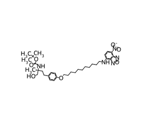 CC(C)(C)OC(=O)N[C@@](C)(CO)CCc1ccc(OCCCCCCCCCCCNc2ccc([N+](=O)[O-])c3nonc23)cc1